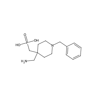 NCC1(CP(=O)(O)O)CCN(Cc2ccccc2)CC1